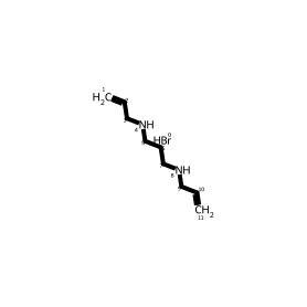 Br.C=CCNCCCNCC=C